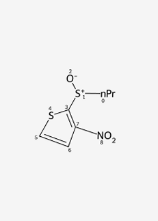 CCC[S+]([O-])c1sccc1[N+](=O)[O-]